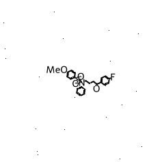 COc1ccc(S(=O)(=O)N(CCCC(=O)c2ccc(F)cc2)c2ccccc2)cc1